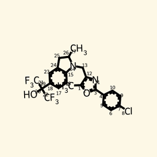 Cc1oc(-c2ccc(Cl)cc2)nc1CN1c2ccc(C(O)(C(F)(F)F)C(F)(F)F)cc2CC1C